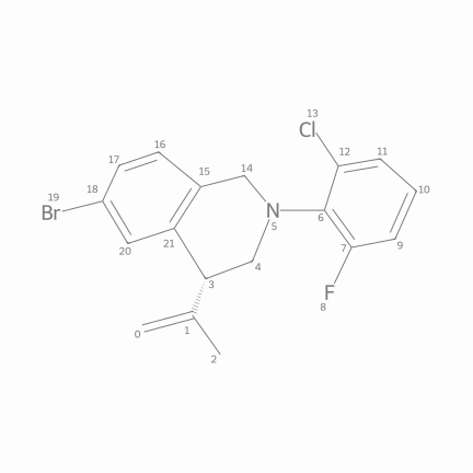 C=C(C)[C@H]1CN(c2c(F)cccc2Cl)Cc2ccc(Br)cc21